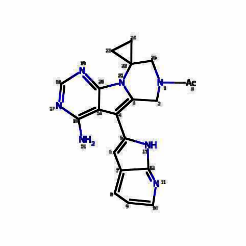 CC(=O)N1Cc2c(-c3cc4cccnc4[nH]3)c3c(N)ncnc3n2C2(CC2)C1